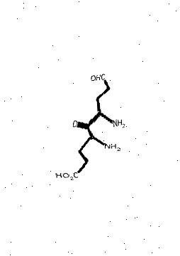 NC(CCC=O)C(=O)C(N)CCC(=O)O